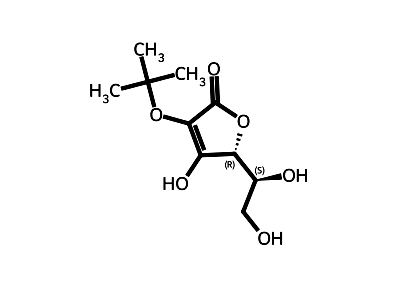 CC(C)(C)OC1=C(O)[C@@H]([C@@H](O)CO)OC1=O